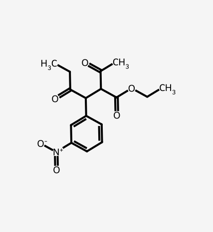 CCOC(=O)C(C(C)=O)C(C(=O)CC)c1cccc([N+](=O)[O-])c1